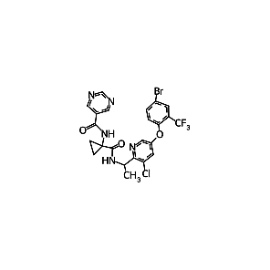 CC(NC(=O)C1(NC(=O)c2cncnc2)CC1)c1ncc(Oc2ccc(Br)cc2C(F)(F)F)cc1Cl